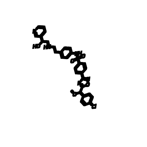 COC(c1ccc(Cl)cc1)c1nc(-c2ccc(S(=O)(=O)Nc3ccc(CCNCC(O)c4cccnc4)cc3)cc2)no1